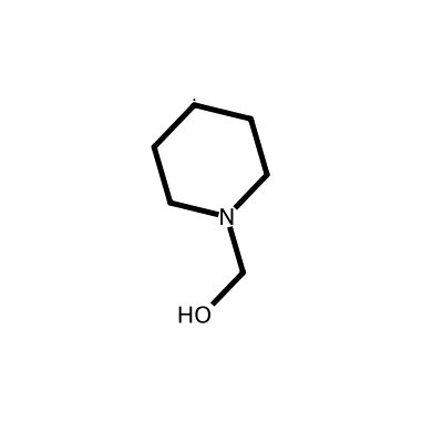 OCN1CC[CH]CC1